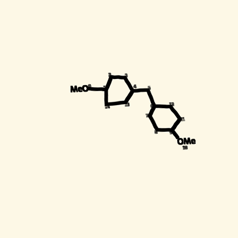 COC1CCC(CC2CCC(OC)CC2)CC1